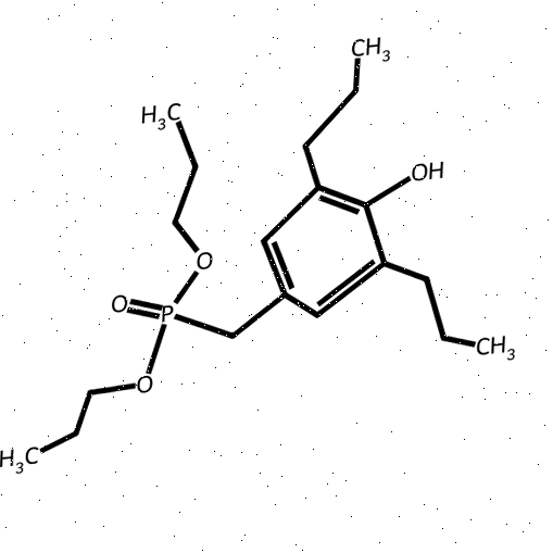 CCCOP(=O)(Cc1cc(CCC)c(O)c(CCC)c1)OCCC